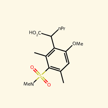 CCCC(C(=O)O)c1c(OC)cc(C)c(S(=O)(=O)NC)c1C